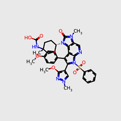 COc1ccc(-c2c(-c3cn(C)nc3OC)n(S(=O)(=O)c3ccccc3)c3ncc4c(c23)n([C@H]2CC[C@@](C)(NC(=O)O)CC2)c(=O)n4C)cc1